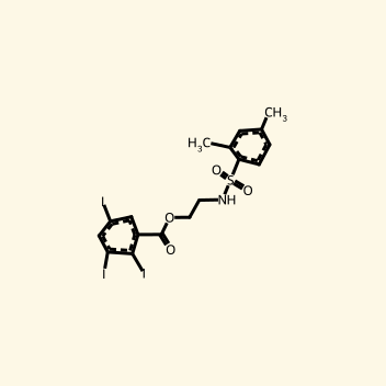 Cc1ccc(S(=O)(=O)NCCOC(=O)c2cc(I)cc(I)c2I)c(C)c1